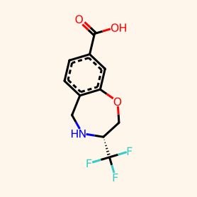 O=C(O)c1ccc2c(c1)OC[C@H](C(F)(F)F)NC2